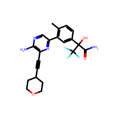 Cc1ccc(C(O)(C(N)=O)C(F)(F)F)cc1-c1cnc(N)c(C#CC2CCOCC2)n1